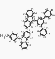 Cc1ccc(-n2c3ccccc3c3ccc(-c4ccc5c6ccccc6n(-c6cc(-c7ccccc7)cc(-c7ccccc7)n6)c5c4)cc32)cc1